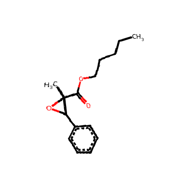 CCCCCOC(=O)C1(C)OC1c1ccccc1